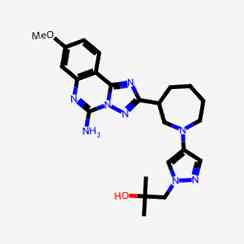 COc1ccc2c(c1)nc(N)n1nc(C3CCCCN(c4cnn(CC(C)(C)O)c4)C3)nc21